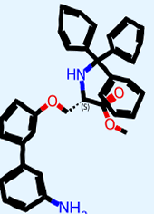 COC(=O)[C@H](COc1cccc(-c2cccc(N)c2)c1)NC(c1ccccc1)(c1ccccc1)c1ccccc1